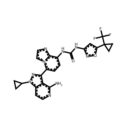 Nc1nccc2c1c(-c1ccc(NC(=O)Nc3cc(C4(C(F)(F)F)CC4)on3)c3nccn13)nn2C1CC1